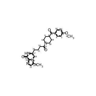 COc1ccc(C(=O)C2CCN(C(=O)CCCc3cn4c(C)cnc4c(=O)[nH]3)CC2)cn1